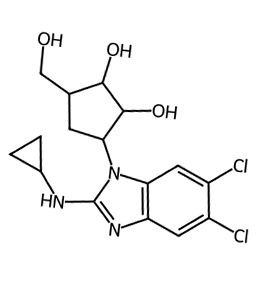 OCC1CC(n2c(NC3CC3)nc3cc(Cl)c(Cl)cc32)C(O)C1O